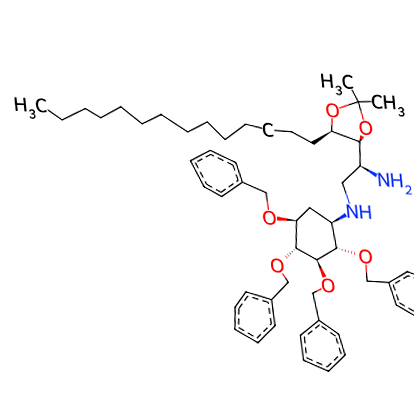 CCCCCCCCCCCCCC[C@H]1OC(C)(C)O[C@H]1[C@@H](N)CN[C@@H]1C[C@H](OCc2ccccc2)[C@@H](OCc2ccccc2)[C@H](OCc2ccccc2)[C@H]1OCc1ccccc1